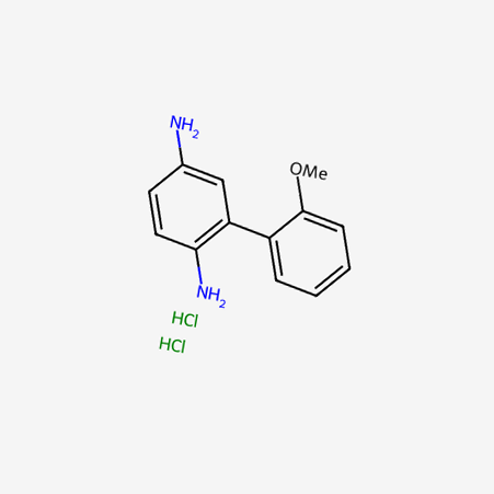 COc1ccccc1-c1cc(N)ccc1N.Cl.Cl